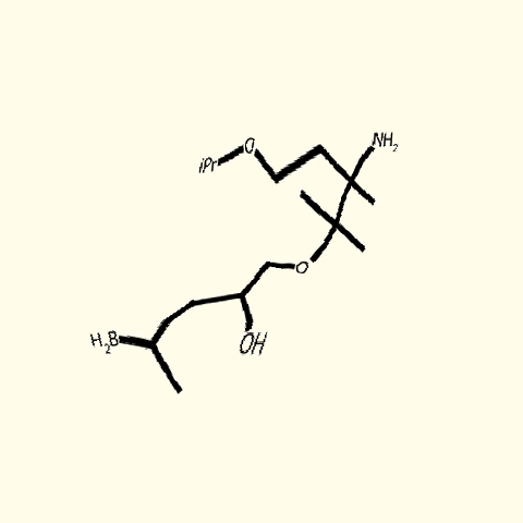 BC(C)CC(O)COC(C)(C)C(C)(N)CCOC(C)C